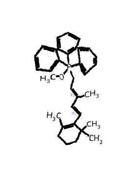 COP(C/C=C(C)/C=C/C1=C(C)CCCC1(C)C)(c1ccccc1)(c1ccccc1)c1ccccc1